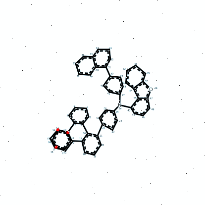 c1ccc(-c2ccccc2-c2c(-c3ccccc3)cccc2-c2ccc(N(c3ccc(-c4cccc5ccccc45)cc3)c3cccc4oc5ccccc5c34)cc2)cc1